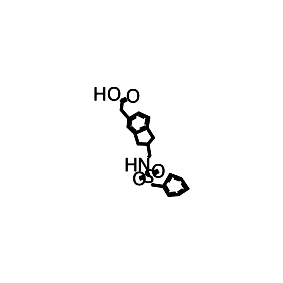 O=C(O)Cc1ccc2c(c1)CC(CNS(=O)(=O)Cc1ccccc1)C2